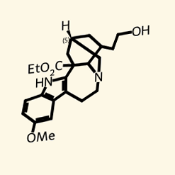 CCOC(=O)C12C[C@@H]3CC(CCO)C1N(CCc1c2[nH]c2ccc(OC)cc12)C3